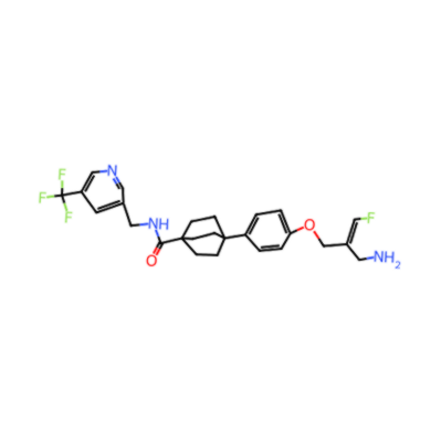 NCC(=CF)COc1ccc(C23CCC(C(=O)NCc4cncc(C(F)(F)F)c4)(CC2)CC3)cc1